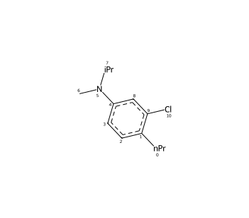 CCCc1ccc(N(C)C(C)C)cc1Cl